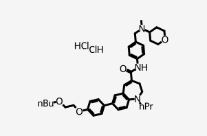 CCCCOCCOc1ccc(-c2ccc3c(c2)C=C(C(=O)Nc2ccc(CN(C)C4CCOCC4)cc2)CCN3CCC)cc1.Cl.Cl